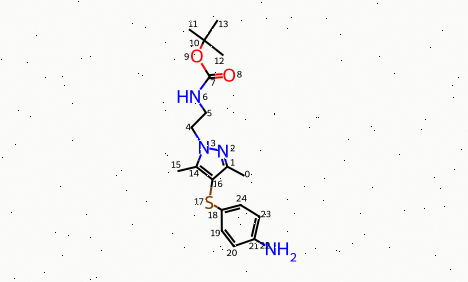 Cc1nn(CCNC(=O)OC(C)(C)C)c(C)c1Sc1ccc(N)cc1